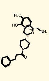 Cc1ccc2c(c1O)C[C@@H](C1CCN(C(=O)CCc3ccccc3)CC1)O[C@H]2CN